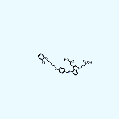 O=C(O)CCCn1cc(CC(=O)O)c2c(/C=C/c3ccc(OCCCCOc4ccccc4Cl)cc3)cccc21